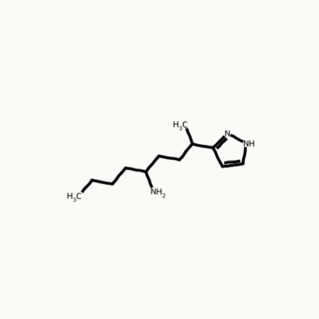 CCCCC(N)CCC(C)c1cc[nH]n1